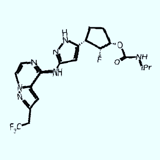 CC(C)NC(=O)O[C@H]1CC[C@@H](c2cc(Nc3nccn4nc(CC(F)(F)F)cc34)n[nH]2)[C@H]1F